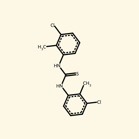 Cc1c(Cl)cccc1NC(=S)Nc1cccc(Cl)c1C